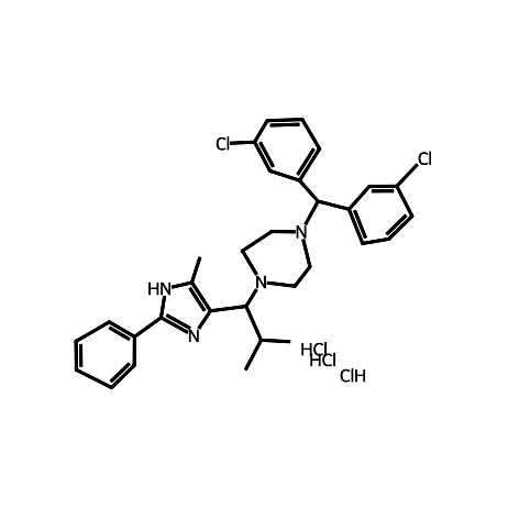 Cc1[nH]c(-c2ccccc2)nc1C(C(C)C)N1CCN(C(c2cccc(Cl)c2)c2cccc(Cl)c2)CC1.Cl.Cl.Cl